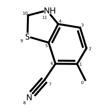 Cc1ccc2c(c1C#N)SCN2